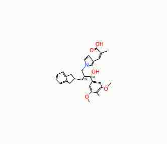 COc1cc([C@@H](O)[C@@H](CC2Cc3ccccc3C2)Cn2ccc(C=C(C)C(=O)O)c2)cc(OC)c1C